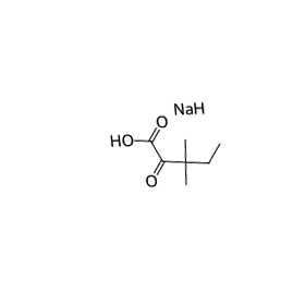 CCC(C)(C)C(=O)C(=O)O.[NaH]